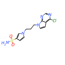 NS(=O)(=O)c1ccn(CCCn2ccc3c(Cl)ncnc32)c1